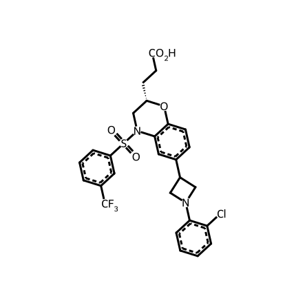 O=C(O)CC[C@H]1CN(S(=O)(=O)c2cccc(C(F)(F)F)c2)c2cc(C3CN(c4ccccc4Cl)C3)ccc2O1